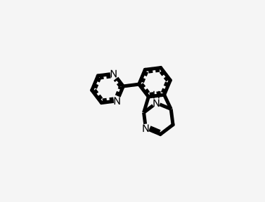 C1=NC2NC(C1)c1cccc(-c3ncccn3)c12